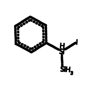 [SiH3][SiH](I)c1ccccc1